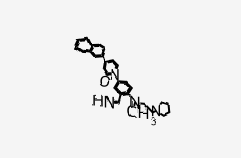 CN(CCN1CCCC1)c1ccc(-n2ccc(-c3ccc4ccccc4c3)cc2=O)cc1C=N